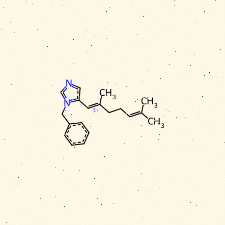 CC(C)=CCC/C(C)=C/c1cncn1Cc1ccccc1